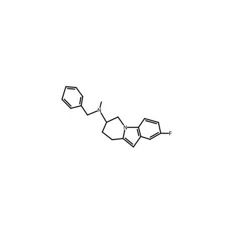 CN(Cc1ccccc1)C1CCc2cc3cc(F)ccc3n2C1